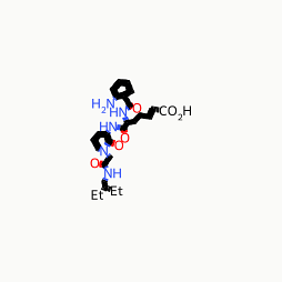 CCC(CC)CNC(=O)Cn1cccc(NC(=O)C(CCC=CC(=O)O)NC(=O)c2ccccc2N)c1=O